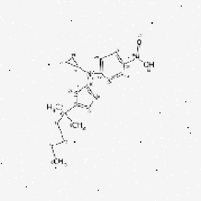 CCCCC(C)(C)c1cnc(N(c2ccc(C(=O)O)cc2)C2CC2)s1